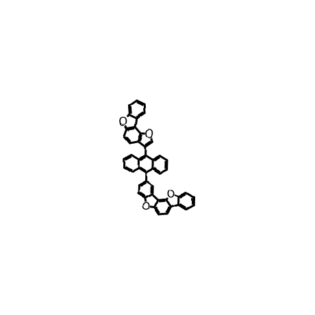 c1ccc2c(c1)oc1c2ccc2oc3ccc(-c4c5ccccc5c(-c5coc6c5ccc5oc7ccccc7c56)c5ccccc45)cc3c21